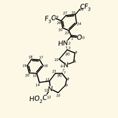 O=C(N[C@@H]1CCN([C@@H]2CCCN(C(=O)O)C(Cc3ccccc3)C2)C1)c1cc(C(F)(F)F)cc(C(F)(F)F)c1